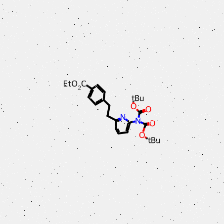 CCOC(=O)c1ccc(CCc2cccc(N(C(=O)OC(C)(C)C)C(=O)OC(C)(C)C)n2)cc1